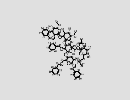 CCC1O[C@H](OCC2(C)O[C@@H](O[C@@H]3C(COCc4ccccc4)O[C@@H](OCc4ccccc4)C(N=[N+]=[N-])[C@H]3C)C(OCc3ccccc3)[C@@H](O[C@H]3O[C@@H](CC)[C@@H](C)C(C)C3O[C@H]3O[C@@H](CC)[C@@H](C)C(C)C3OCc3ccccc3)[C@@H]2C)C(OC(C)=O)[C@@H](C)[C@@H]1C